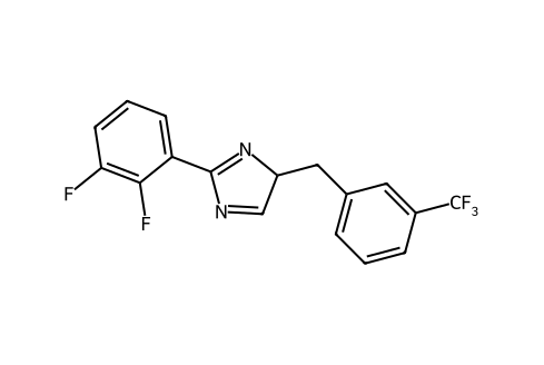 Fc1cccc(C2=NC(Cc3cccc(C(F)(F)F)c3)C=N2)c1F